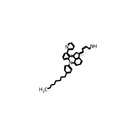 CCCCCCCCc1ccc(N2c3cccc4c3[C@H](C/C4=C\C=C/C=N)c3c(-c4ccccn4)cccc32)cc1